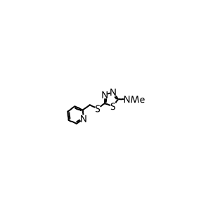 CNc1nnc(SCc2ccccn2)s1